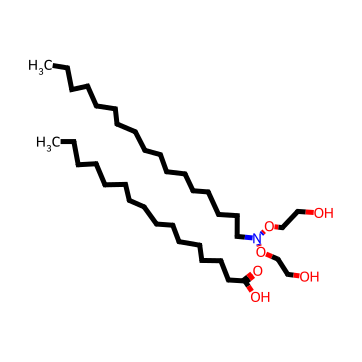 CCCCCCCCCCCCCCCC(=O)O.CCCCCCCCCCCCCCCCCN(OCCO)OCCO